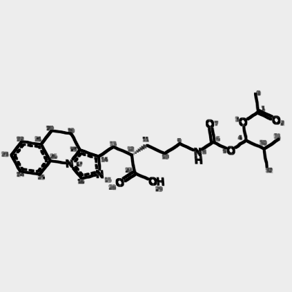 CC(=O)OC(OC(=O)NCCC[C@@H](Cc1ncn2c1CCc1ccccc1-2)C(=O)O)C(C)C